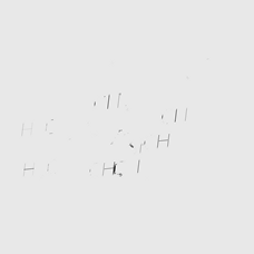 CC1=C(C)C(C)[C]([Zr]([CH]2C(C)=C(c3ccccc3)c3ccccc32)=[Si](C)C)=C1C